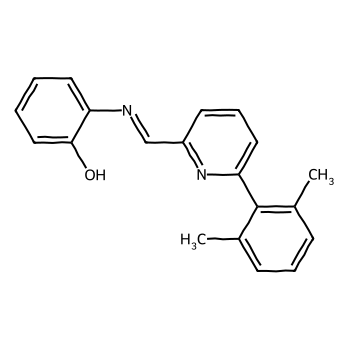 Cc1cccc(C)c1-c1cccc(/C=N/c2ccccc2O)n1